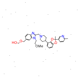 COCCn1c(CN2CCC(c3cccc4c3OC(C)(c3ccc(C)nc3)O4)CC2)nc2ccc(COCO)cc21